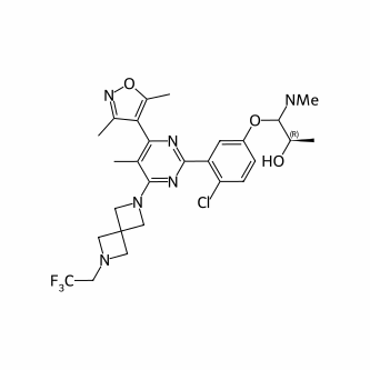 CNC(Oc1ccc(Cl)c(-c2nc(-c3c(C)noc3C)c(C)c(N3CC4(CN(CC(F)(F)F)C4)C3)n2)c1)[C@@H](C)O